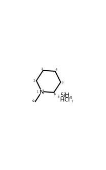 CN1CCCCC1.Cl.[SiH4]